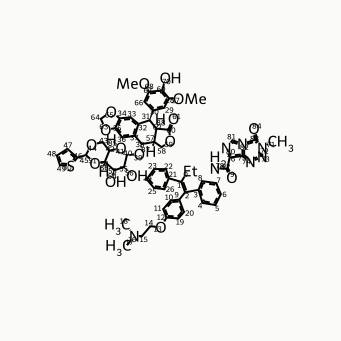 CC/C(=C(\c1ccccc1)c1ccc(OCCN(C)C)cc1)c1ccccc1.COc1cc([C@@H]2c3cc4c(cc3[C@@H](O[C@@H]3O[C@@H]5COC(c6cccs6)O[C@H]5[C@H](O)[C@H]3O)[C@H]3COC(=O)[C@H]23)OCO4)cc(OC)c1O.Cn1nnc2c(C(N)=O)ncn2c1=O